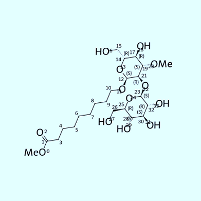 COC(=O)CCCCCCCCO[C@H]1O[C@H](CO)[C@@H](O)[C@H](OC)[C@H]1O[C@@H]1O[C@H](CO)[C@@H](O)[C@H](O)[C@H]1O